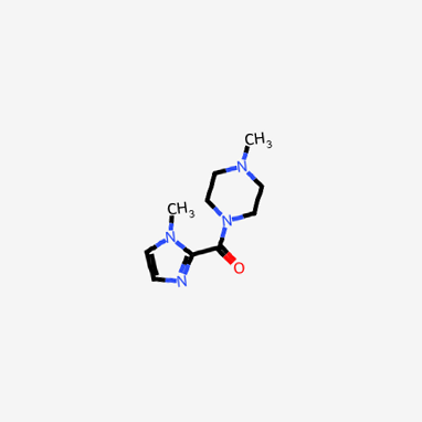 CN1CCN(C(=O)c2nccn2C)CC1